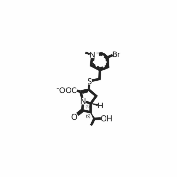 CC(O)[C@H]1C(=O)N2C(C(=O)[O-])=C(SCc3cc(Br)c[n+](C)c3)C[C@H]12